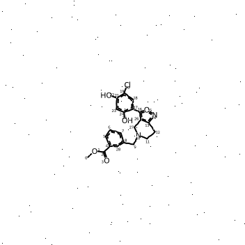 COC(=O)c1cccc(CN2CCc3noc(-c4cc(Cl)c(O)cc4O)c3C2)c1